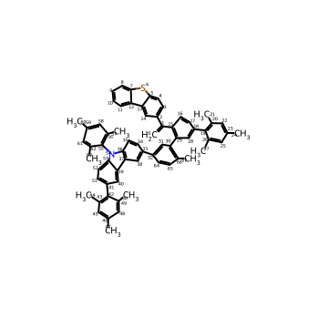 C=C(c1ccc2sc3ccccc3c2c1)c1ccc(-c2c(C)cc(C)cc2C)cc1-c1cc(-c2ccc3c(c2)c2cc(-c4c(C)cc(C)cc4C)ccc2n3-c2c(C)cc(C)cc2C)ccc1C